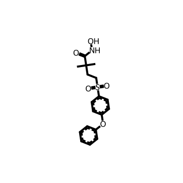 CC(C)(CCS(=O)(=O)c1ccc(Oc2ccccc2)cc1)C(=O)NO